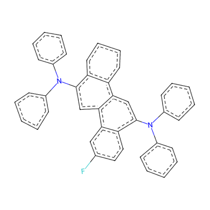 Fc1ccc2c(N(c3ccccc3)c3ccccc3)cc3c4ccccc4c(N(c4ccccc4)c4ccccc4)cc3c2c1